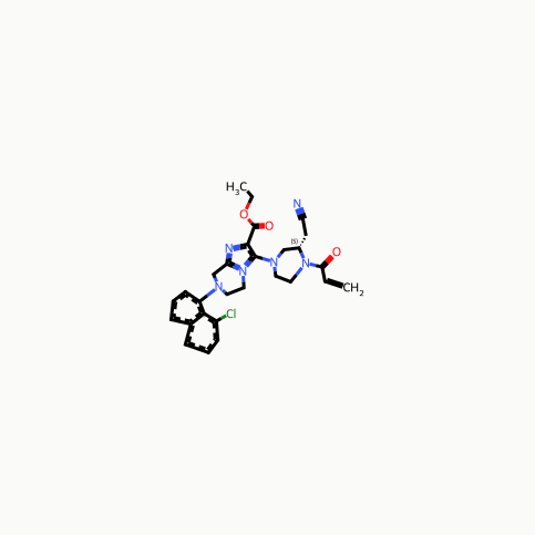 C=CC(=O)N1CCN(c2c(C(=O)OCC)nc3n2CCN(c2cccc4cccc(Cl)c24)C3)C[C@@H]1CC#N